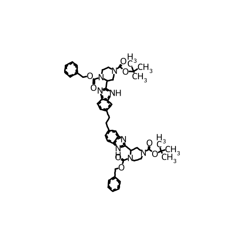 CC(C)(C)OC(=O)N1CCN(C(=O)OCc2ccccc2)C(c2nc3cc(CCc4ccc5nc(C6CN(C(=O)OC(C)(C)C)CCN6C(=O)OCc6ccccc6)[nH]c5c4)ccc3[nH]2)C1